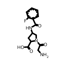 NCC(=O)N1CC(NC(=O)c2ccccc2F)CC1C(=O)O